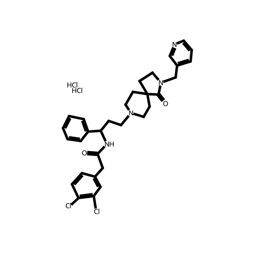 Cl.Cl.O=C(Cc1ccc(Cl)c(Cl)c1)NC(CCN1CCC2(CC1)CCN(Cc1cccnc1)C2=O)c1ccccc1